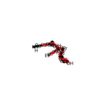 CCOCCOCCOCCOCCC(=O)N[C@H](CCCCNC(=O)COC1CCCCCC2=C1NNN2CCOCCOCCOCCOCCC(=O)NCC[N+](C)(C)C)C(=O)N[C@H](C(=O)N[C@@H](C)C(=O)Nc1ccc2c(c1)[C@@]1(C)CCC[C@](C)(C(=O)NC(=O)[C@@]3(C)CCC[C@]4(C)c5cc(O)ccc5CC[C@@H]34)[C@@H]1CC2)C(C)C